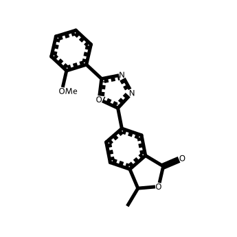 COc1ccccc1-c1nnc(-c2ccc3c(c2)C(=O)OC3C)o1